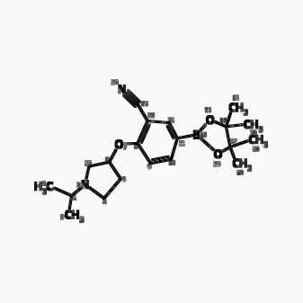 CC(C)N1CCC(Oc2ccc(B3OC(C)(C)C(C)(C)O3)cc2C#N)C1